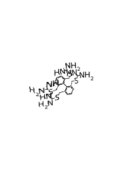 N=C(N)SCc1cccc(CSC(=N)N)c1-c1c(CSC(=N)N)cccc1CSC(=N)N